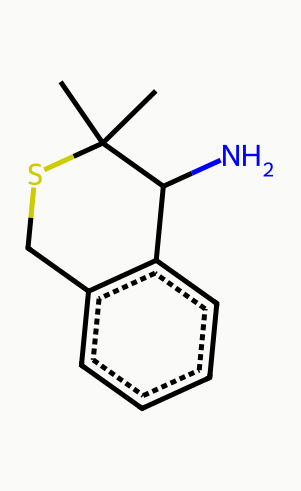 CC1(C)SCc2ccccc2C1N